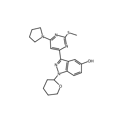 CSc1nc(-c2nn(C3CCCCO3)c3ccc(O)cc23)cc(N2CCCC2)n1